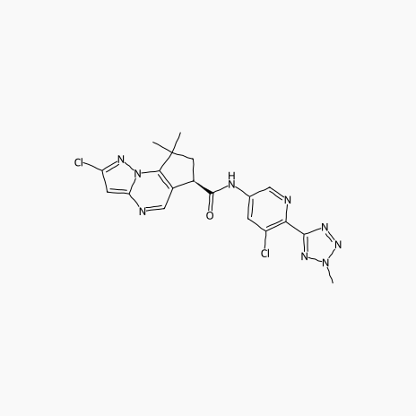 Cn1nnc(-c2ncc(NC(=O)[C@@H]3CC(C)(C)c4c3cnc3cc(Cl)nn43)cc2Cl)n1